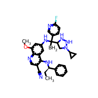 BC(Nc1cc(OC)c2ncc(C#N)c(N[C@H](CC)c3ccccc3)c2c1)(c1ccc(F)nc1)C1CN(C2CC2)NN1